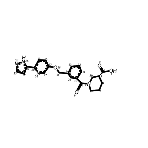 O=C(O)[C@H]1CCCN(C(=O)c2cccc(COc3ccc(-c4ccn[nH]4)nc3)c2)C1